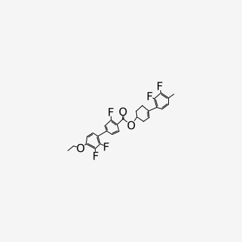 CCOc1ccc(-c2ccc(C(=O)OC3CC=C(c4ccc(C)c(F)c4F)CC3)c(F)c2)c(F)c1F